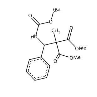 COC(=O)C(C)(C(=O)OC)C(NC(=O)OC(C)(C)C)c1ccccc1